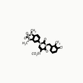 CCOC(=O)c1cn(-c2ccc3c(c2)N(C)S(=O)(=O)N3C)c(=O)n(Cc2cccc(Cl)c2C(F)(F)F)c1=O